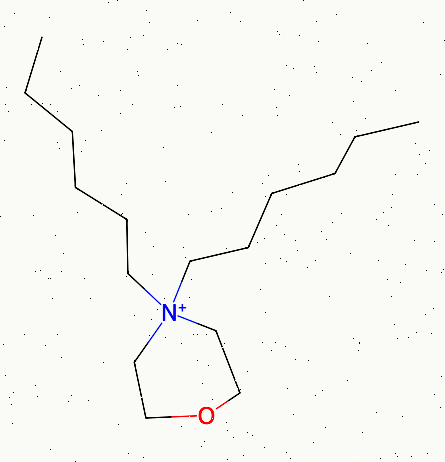 CCCCCC[N+]1(CCCCCC)CCOCC1